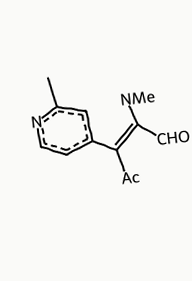 CN/C(C=O)=C(/C(C)=O)c1ccnc(C)c1